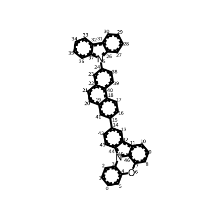 c1ccc2c(c1)Oc1cccc3c4cc(-c5ccc6c(ccc7cc(-n8c9ccccc9c9ccccc98)ccc76)c5)ccc4n-2c13